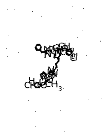 CC(C)(Oc1ccc(Cl)cc1)C(=O)N1CCC[C@H]1c1nc(CCCC2C[C@@H](c3nc(Cc4ccccc4)no3)N(C(=O)C(C)(C)Oc3ccc(Cl)cc3)C2)no1